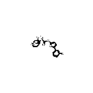 O=C(N[C@H]1CN2CCC1CC2)Oc1ccc(-c2cccc(Cl)c2)o1